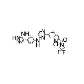 CN1C(C(=O)N2CC(F)(F)C2)=CC2C=CC(c3nccc(Nc4ccc(-c5cn[nH]c5N)cc4)n3)=CC21